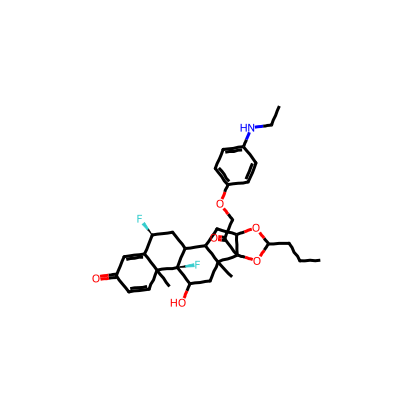 CCCC1OC2CC3C4C[C@H](F)C5=CC(=O)C=CC5(C)[C@@]4(F)C(O)CC3(C)C2(C(=O)COc2ccc(NCC)cc2)O1